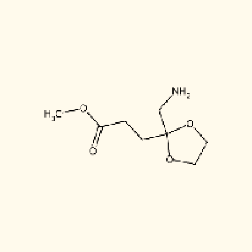 COC(=O)CCC1(CN)OCCO1